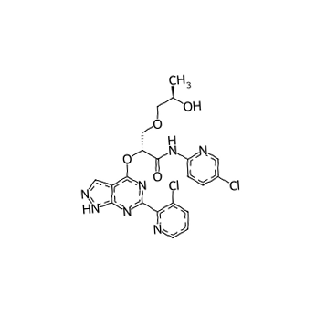 C[C@@H](O)COC[C@@H](Oc1nc(-c2ncccc2Cl)nc2[nH]ncc12)C(=O)Nc1ccc(Cl)cn1